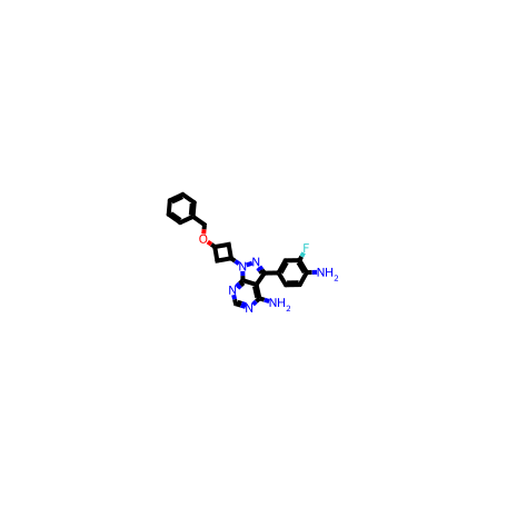 Nc1ccc(-c2nn(C3CC(OCc4ccccc4)C3)c3ncnc(N)c23)cc1F